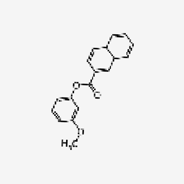 COc1cccc(OC(=O)C2=CC3C=CC=CC3C=C2)c1